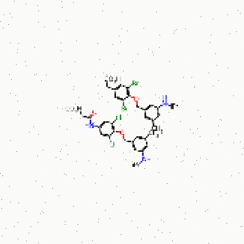 CC(C)Nc1cc(COc2c(Cl)cc(NC(=O)CC(=O)O)cc2Cl)cc(C(F)(F)F)c1.Cc1cc(COc2c(Br)cc(CC(=O)O)cc2Br)cc(NC(C)C)c1